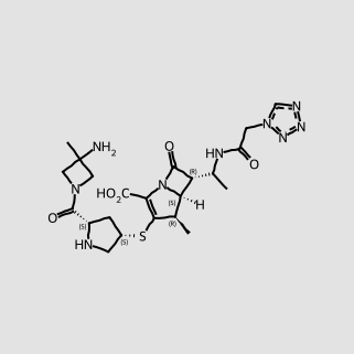 CC(NC(=O)Cn1cnnn1)[C@H]1C(=O)N2C(C(=O)O)=C(S[C@@H]3CN[C@H](C(=O)N4CC(C)(N)C4)C3)[C@H](C)[C@H]12